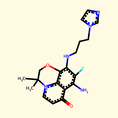 CC1(C)COc2c(NCCCn3ccnc3)c(F)c(N)c3c(=O)ccn1c23